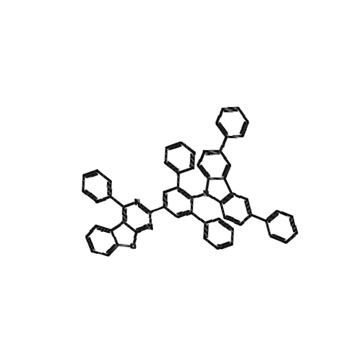 c1ccc(-c2ccc3c(c2)c2cc(-c4ccccc4)ccc2n3-c2c(-c3ccccc3)cc(-c3nc(-c4ccccc4)c4c(n3)oc3ccccc34)cc2-c2ccccc2)cc1